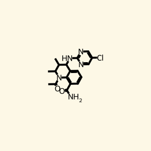 CC(=O)N1c2c(C(N)=O)cccc2C(Nc2ncc(Cl)cn2)C(C)C1C